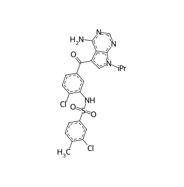 Cc1ccc(S(=O)(=O)Nc2cc(C(=O)c3cn(C(C)C)c4ncnc(N)c34)ccc2Cl)cc1Cl